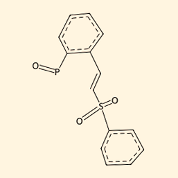 O=Pc1ccccc1C=CS(=O)(=O)c1ccccc1